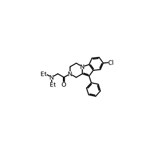 CCN(CC)CC(=O)N1CCn2c(c(-c3ccccc3)c3cc(Cl)ccc32)C1